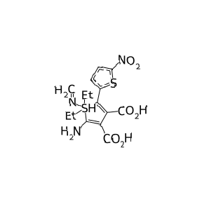 C=N[SH]1(CC)(CC)C(N)=C(C(=O)O)C(C(=O)O)=C1c1ccc([N+](=O)[O-])s1